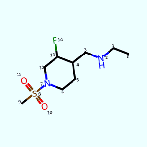 CCNCC1CCN(S(C)(=O)=O)CC1F